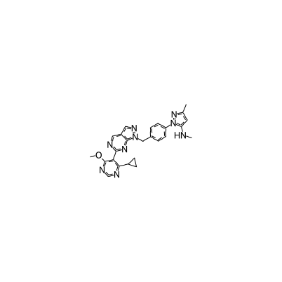 CNc1cc(C)nn1-c1ccc(Cn2ncc3cnc(-c4c(OC)ncnc4C4CC4)nc32)cc1